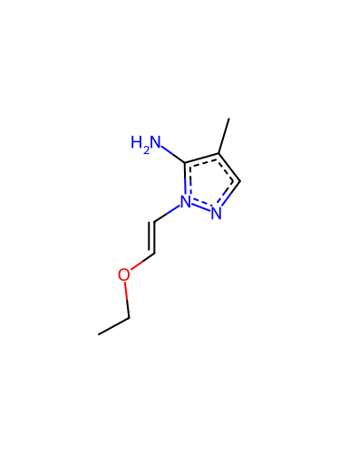 CCOC=Cn1ncc(C)c1N